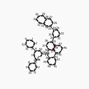 c1ccc(-c2cc(-c3ccccc3)cc(N(c3ccc(-c4cccc(-c5ccc6ccccc6c5)c4)cc3)c3ccccc3-c3ccccc3)c2)cc1